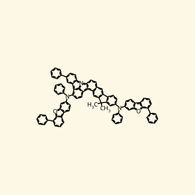 CC1(C)c2cc(N(c3ccccc3)c3ccc4c(c3)oc3c(-c5ccccc5)cccc34)ccc2-c2cc3ccc4c(c3cc21)c1ccc(N(c2ccccc2)c2ccc3c(c2)oc2c(-c5ccccc5)cccc23)c2c3cc(-c5ccccc5)ccc3n4c12